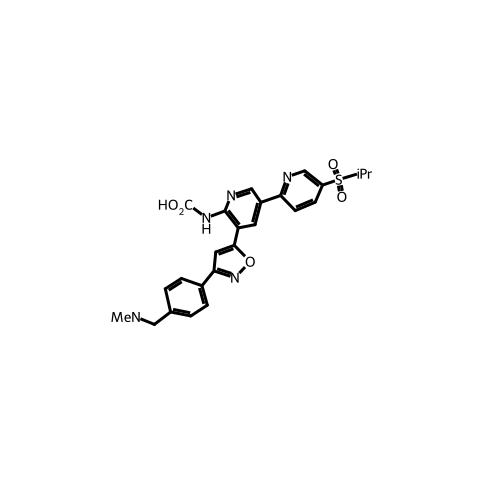 CNCc1ccc(-c2cc(-c3cc(-c4ccc(S(=O)(=O)C(C)C)cn4)cnc3NC(=O)O)on2)cc1